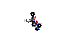 Cc1cc(C(=O)[N+]2(C(=O)Nc3ccccc3-n3cccc3)CCC[C@H]2C)nn1CC(=O)c1ccccc1